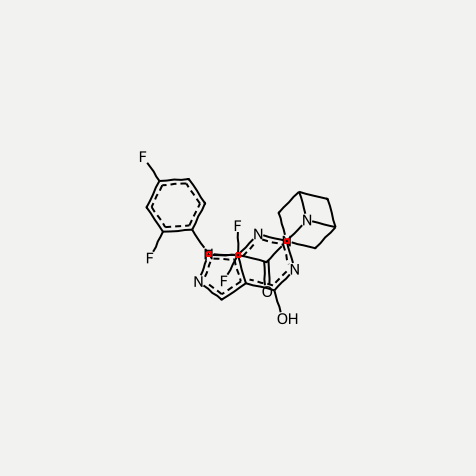 O=C(N1CC2CC(C1)N2c1nc(O)c2cnn(-c3ccc(F)cc3F)c2n1)C(F)(F)F